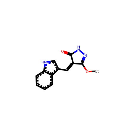 CCOC1=NNC(=O)C1=Cc1c[nH]c2ccccc12